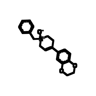 [O-][N+]1(Cc2ccccc2)CC=C(c2ccc3c(c2)OCCO3)CC1